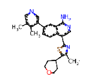 [CH2]c1nc(-c2cnc(N)c3cc(-c4cncc(C)c4C)ccc23)sc1C1CCOCC1